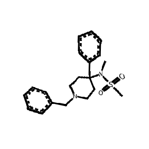 CN(C1(c2ccccc2)CCN(Cc2ccccc2)CC1)S(C)(=O)=O